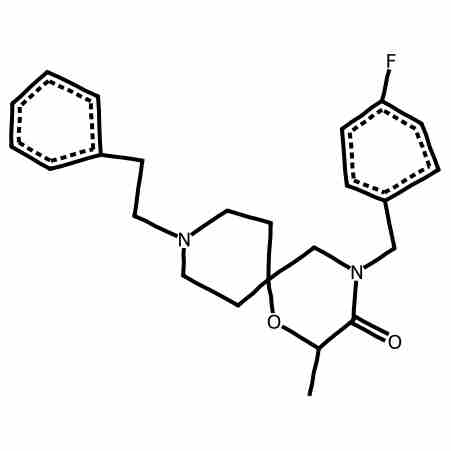 CC1OC2(CCN(CCc3ccccc3)CC2)CN(Cc2ccc(F)cc2)C1=O